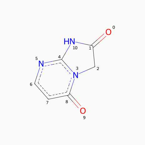 O=C1Cn2c(nccc2=O)N1